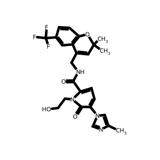 Cc1cn(-c2ccc(C(=O)NCC3=CC(C)(C)Oc4ccc(C(F)(F)F)cc43)n(CCO)c2=O)cn1